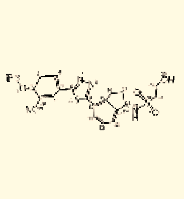 CC(C)OC1CC=C(c2nnc(-c3cccc4c3CC[C@@H]4NS(=O)(=O)CCO)s2)C=C1C#N